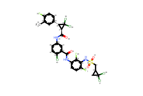 O=C(Nc1ccc(F)c(NS(=O)(=O)CC2CC2(Cl)Cl)c1F)c1cc(NC(=O)[C@H]2[C@H](c3ccc(F)c(C(F)(F)F)c3)C2(Cl)Cl)ccc1Cl